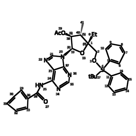 CC[C@@]1(CO[Si](c2ccccc2)(c2ccccc2)C(C)(C)C)O[C@@H](n2cnc3c(NC(=O)c4ccccc4)ncnc32)[C@@H](OC(C)=O)[C@@H]1C